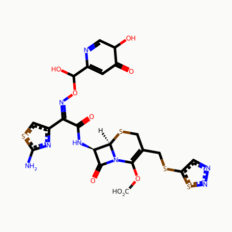 Nc1nc(/C(=N/OC(O)C2=CC(=O)C(O)C=N2)C(=O)N[C@@H]2C(=O)N3C(OC(=O)O)=C(CSc4cnns4)CS[C@H]23)cs1